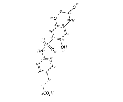 O=C(O)CCc1ccc(NS(=O)(=O)c2cc3c(cc2O)NC(=O)CO3)cc1